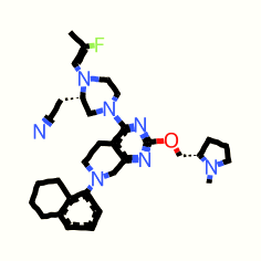 CC(F)=CN1CCN(c2nc(OC[C@@H]3CCCN3C)nc3c2CCN(c2cccc4c2CCCC4)C3)C[C@@H]1CC#N